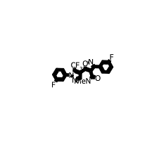 CNC(=O)c1c(-c2cccc(F)c2)noc1-c1cnn(-c2cccc(F)c2)c1C(F)(F)F